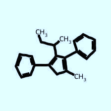 CCC(C)C1=C(c2ccccc2)CC(C)=C1c1ccccc1